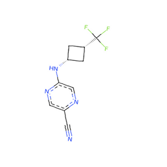 N#Cc1cnc(N[C@H]2C[C@@H](C(F)(F)F)C2)cn1